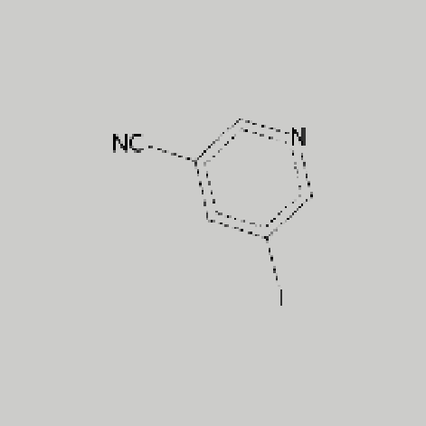 N#Cc1cncc(I)c1